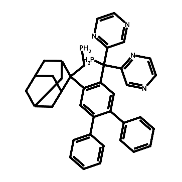 PCC1(c2cc(-c3ccccc3)c(-c3ccccc3)cc2C(P)(c2cnccn2)c2cnccn2)C2CC3CC(C2)CC1C3